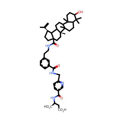 C=C(C)[C@@H]1CCC2(C(=O)NCCc3cccc(C(=O)NCc4ccc(C(=O)NC(CC(=O)O)C(=O)O)cn4)c3)CC[C@]3(C)C(CCC4C5(C)CCC(O)C(C)(C)C5CCC43C)C12